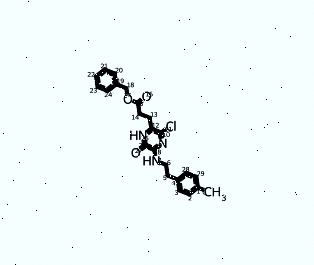 Cc1ccc(CCNc2nc(Cl)c(CCC(=O)OCc3ccccc3)[nH]c2=O)cc1